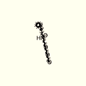 O=CCCOCCCOCCCCNC(=O)CCSSc1ccccn1